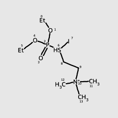 CCOP(=O)(OCC)[SH](I)CC[N+](C)(C)C